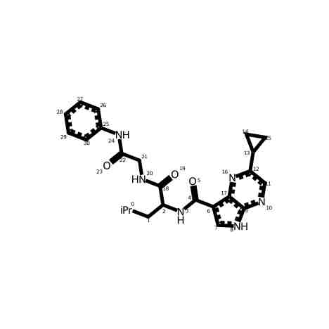 CC(C)CC(NC(=O)c1c[nH]c2ncc(C3CC3)nc12)C(=O)NCC(=O)Nc1ccccc1